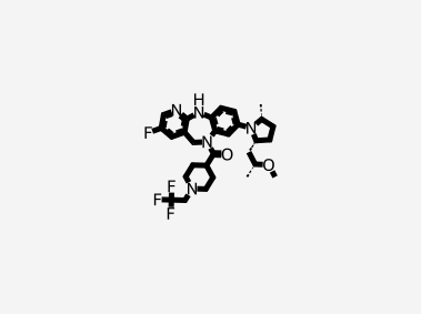 CO[C@H](C)C[C@H]1CC[C@@H](C)N1c1ccc2c(c1)N(C(=O)C1CCN(CC(F)(F)F)CC1)Cc1cc(F)cnc1N2